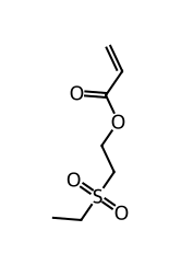 C=CC(=O)OCCS(=O)(=O)CC